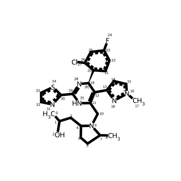 CC(O)CC1CCC(C)N1CC1=C(c2ccn(C)n2)[C@H](c2ccc(F)cc2Cl)N=C(c2nccs2)N1